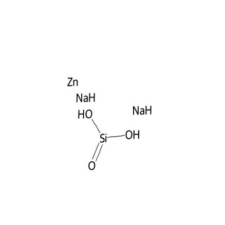 O=[Si](O)O.[NaH].[NaH].[Zn]